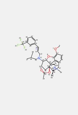 COc1ccc2c3c1OC1C(N(C/C=C/c4cccc(C(F)(F)F)c4)CC(C)C)CC[C@@]4(OC(C)=O)[C@@H](C2)N(C)CC[C@]314